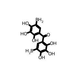 Bc1cc(C(=O)c2cc(B)c(O)c(O)c2O)c(O)c(O)c1O